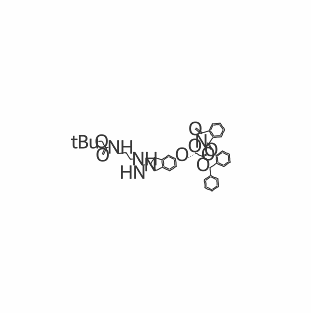 CC(C)(C)OC(=O)NCCCNC(=N)N1Cc2ccc(OC[C@H](ON3C(=O)c4ccccc4C3=O)C(=O)OC(c3ccccc3)c3ccccc3)cc2C1